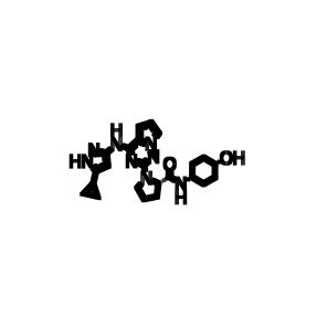 O=C(N[C@H]1CC[C@@H](O)CC1)[C@@H]1CCCN1c1nc(Nc2cc(C3CC3)[nH]n2)c2cccn2n1